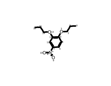 CCCOc1ccc([N+](=O)[O-])cc1OCCC